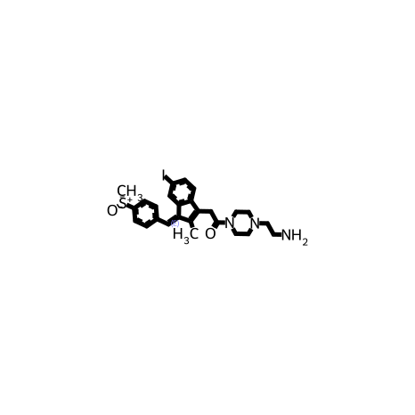 CC1=C(CC(=O)N2CCN(CCN)CC2)c2ccc(I)cc2/C1=C\c1ccc([S+](C)[O-])cc1